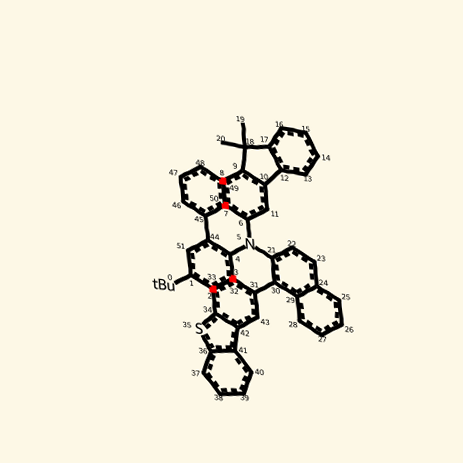 CC(C)(C)c1ccc(N(c2ccc3c(c2)-c2ccccc2C3(C)C)c2ccc3ccccc3c2-c2ccc3sc4ccccc4c3c2)c(-c2ccccc2)c1